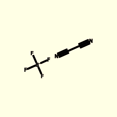 F[B-](F)(F)F.N#CC#N